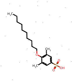 CCCCCCCCCCOc1c(C)cc(S(=O)(=O)O)cc1C